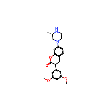 COc1cc(OC)cc(C2Cc3ccc(N4CCN[C@@H](C)C4)cc3OC2=O)c1